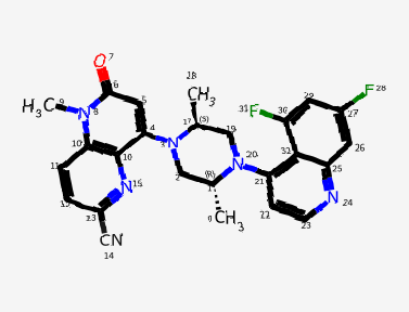 C[C@@H]1CN(c2cc(=O)n(C)c3ccc(C#N)nc23)[C@@H](C)CN1c1ccnc2cc(F)cc(F)c12